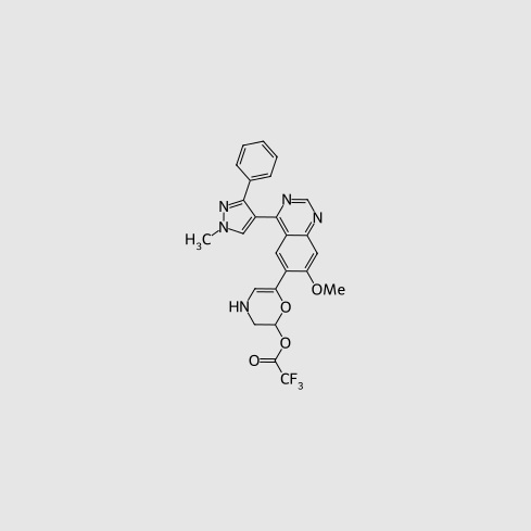 COc1cc2ncnc(-c3cn(C)nc3-c3ccccc3)c2cc1C1=CNCC(OC(=O)C(F)(F)F)O1